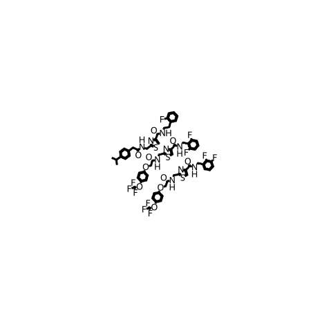 CC(C)c1ccc(CC(=O)NCc2nc(C(=O)NCCc3ccccc3F)cs2)cc1.O=C(COc1ccc(OC(F)(F)F)cc1)NCc1nc(C(=O)NCc2c(F)cccc2F)cs1.O=C(COc1ccc(OC(F)(F)F)cc1)NCc1nc(C(=O)NCc2cccc(F)c2F)cs1